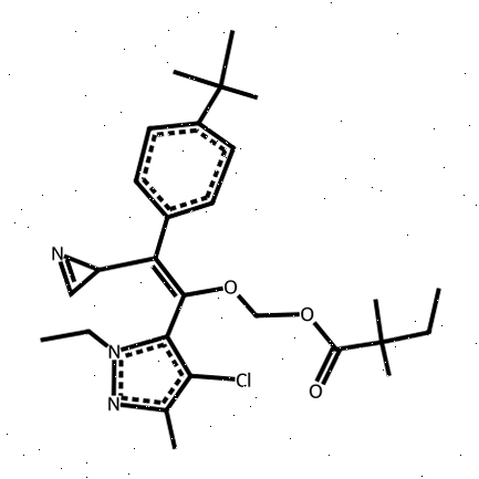 CCn1nc(C)c(Cl)c1/C(OCOC(=O)C(C)(C)CC)=C(/c1ccc(C(C)(C)C)cc1)C1C=N1